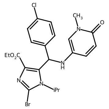 CCOC(=O)c1nc(Br)n(C(C)C)c1C(Nc1ccc(=O)n(C)c1)c1ccc(Cl)cc1